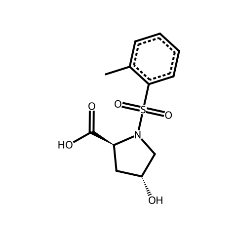 Cc1ccccc1S(=O)(=O)N1C[C@H](O)C[C@H]1C(=O)O